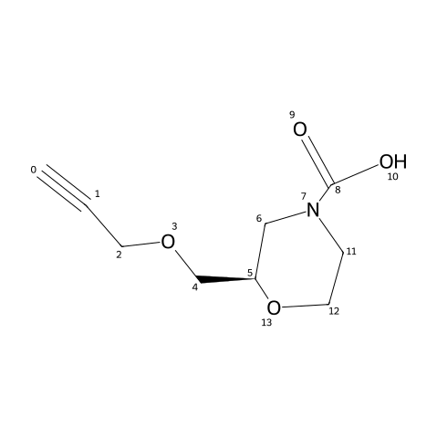 C#CCOC[C@H]1CN(C(=O)O)CCO1